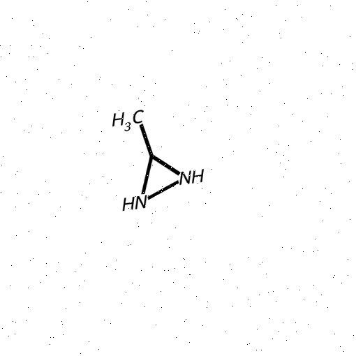 CC1NN1